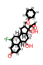 C[C@@H]1C[C@H]2[C@@H]3C[C@H](F)C4=CC(=O)C=C[C@]4(C)[C@H]3[C@@H](O)C[C@]2(C)[C@@]1(O)[C@]1(Oc2ccccc2)CO1